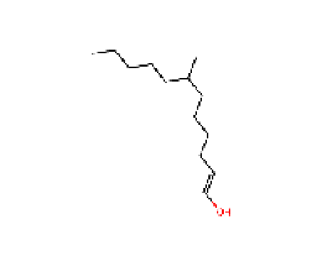 CCCCCC(C)CCCC/C=C/O